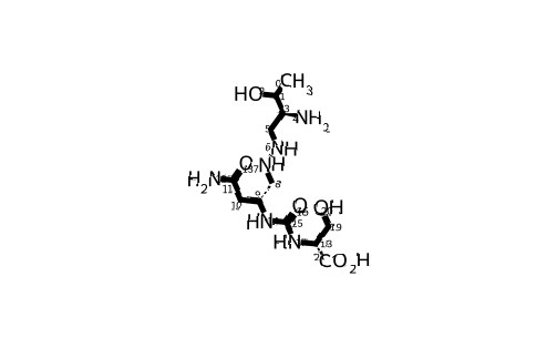 CC(O)[C@@H](N)CNNC[C@@H](CC(N)=O)NC(=O)N[C@H](CO)C(=O)O